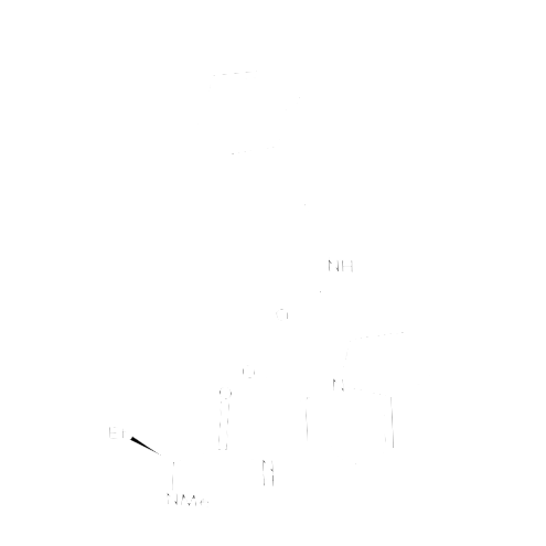 CC[C@H](NC)C(=O)Nc1ccc2n(c1=O)[C@H](C(=O)NCCc1ccccc1)CC2